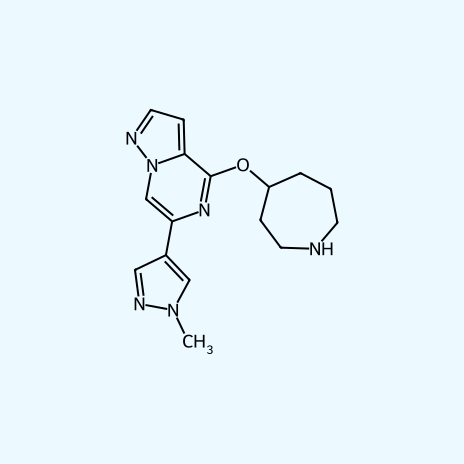 Cn1cc(-c2cn3nccc3c(OC3CCCNCC3)n2)cn1